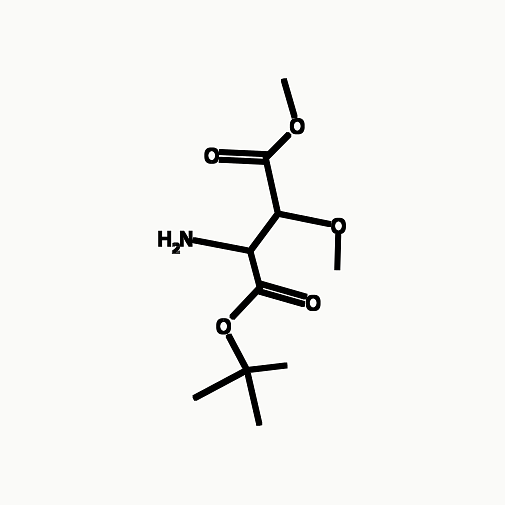 COC(=O)C(OC)C(N)C(=O)OC(C)(C)C